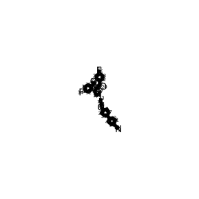 N#Cc1ccc(-c2ccc(OCCC[C@@H]3CCN(N(C(=O)c4ccc(F)cc4)C(=O)c4ccc(F)cc4)C3)cc2)cc1